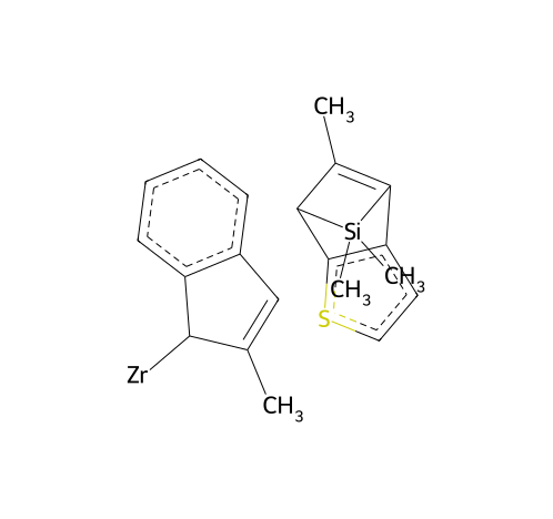 CC1=C2c3ccsc3C1[Si]2(C)C.CC1=Cc2ccccc2[CH]1[Zr]